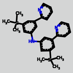 C[Si](C)(C)c1cc(Nc2cc(-c3ccccn3)cc([Si](C)(C)C)c2)cc(-c2ccccn2)c1